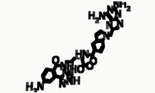 Nc1ccc(C(=O)NCCC[C@H](NC(=O)c2ccc3c(ccn3Cc3cnc4nc(N)nc(N)c4n3)c2)C(=O)O)c(-c2nn[nH]n2)c1